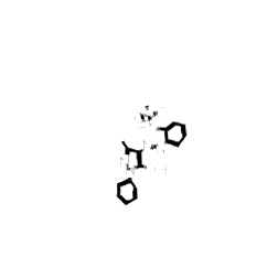 Cc1nn(-c2ccccc2)c(O)c1N=Nc1ccccc1NS(C)(=O)=O